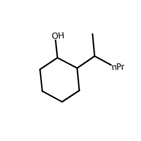 CCCC(C)C1CCCCC1O